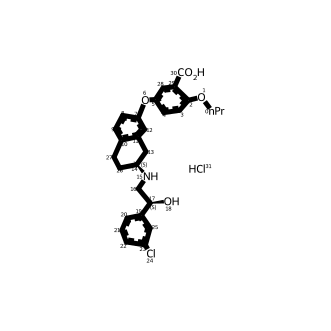 CCCOc1ccc(Oc2ccc3c(c2)C[C@@H](NC[C@@H](O)c2cccc(Cl)c2)CC3)cc1C(=O)O.Cl